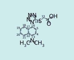 CN(C)c1ccc(-n2nnnc2SCC(=O)O)c2ccccc12